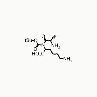 CC(C)C(N)C(=O)N(C(=O)OC(C)(C)C)C(CCCCN)C(=O)O